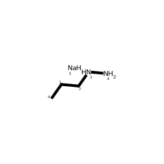 CCCNN.[NaH]